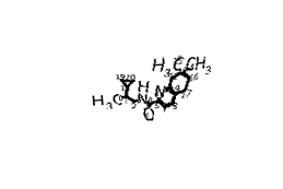 CC(CNC(=O)c1ccc2c(n1)CC(C)(C)CC2)C1CC1